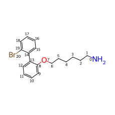 NCCCCCCOc1ccccc1-c1ccccc1Br